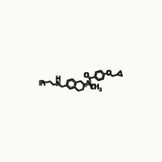 CC(C)CCNCc1ccc2c(c1)CC[C@H](N(C)C(=O)c1ccc(OCC3CC3)cc1)C2